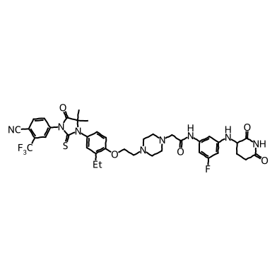 CCc1cc(N2C(=S)N(c3ccc(C#N)c(C(F)(F)F)c3)C(=O)C2(C)C)ccc1OCCN1CCN(CC(=O)Nc2cc(F)cc(NC3CCC(=O)NC3=O)c2)CC1